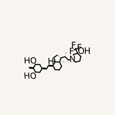 C=C1[C@H](O)CC(=C/C=C2\CCC[C@]3(C)[C@@H]([C@H](C)CN4CCCC(O)(C(F)(F)F)C4)CC[C@@H]23)C[C@H]1O